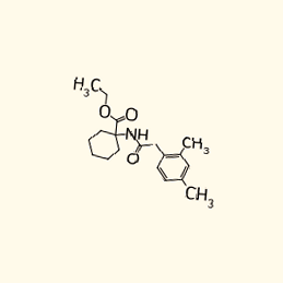 CCOC(=O)C1(NC(=O)Cc2ccc(C)cc2C)CCCCC1